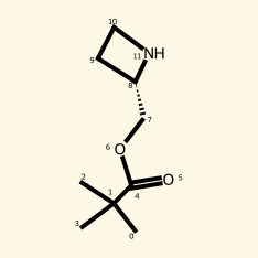 CC(C)(C)C(=O)OC[C@@H]1CCN1